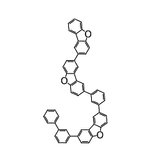 c1ccc(-c2cccc(-c3ccc4oc5ccc(-c6cccc(-c7ccc8oc9ccc(-c%10ccc%11oc%12ccccc%12c%11c%10)cc9c8c7)c6)cc5c4c3)c2)cc1